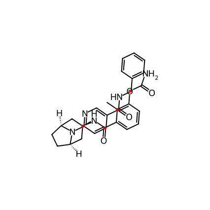 Cc1c(OC(N)=O)cccc1C(=O)N[C@H]1C[C@H]2CC[C@@H](C1)N2c1ccc(C(=O)NCc2ccccc2)cn1